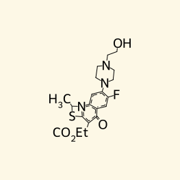 CCOC(=O)c1c2n(c3cc(N4CCN(CCO)CC4)c(F)cc3c1=O)C(C)S2